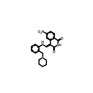 O=C1NC(=O)c2ccc([N+](=O)[O-])cc2C1=CNc1ccccc1CN1CCCCC1